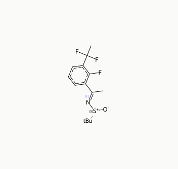 C/C(=N\[S@+]([O-])C(C)(C)C)c1cccc(C(C)(F)F)c1F